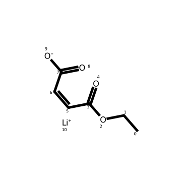 CCOC(=O)/C=C\C(=O)[O-].[Li+]